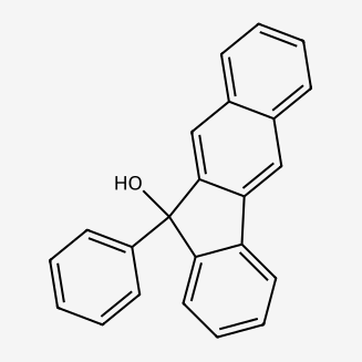 OC1(c2ccccc2)c2ccccc2-c2cc3ccccc3cc21